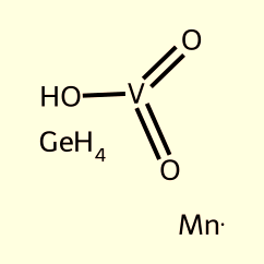 [GeH4].[Mn].[O]=[V](=[O])[OH]